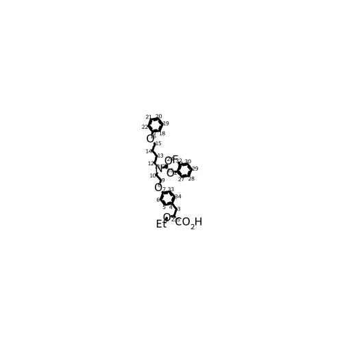 CCOC(Cc1ccc(OCCN(CCCCOc2ccccc2)C(=O)Oc2ccccc2F)cc1)C(=O)O